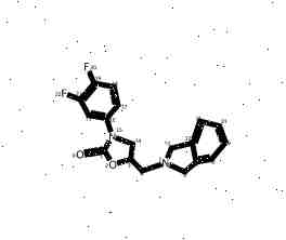 O=C1OC(CN2Cc3ccccc3C2)CN1c1ccc(F)c(F)c1